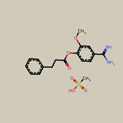 COc1cc(C(=N)N)ccc1OC(=O)CCc1ccccc1.CS(=O)(=O)O